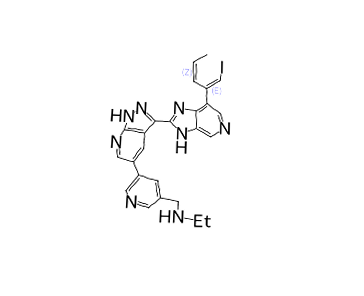 C/C=C\C(=C/I)c1cncc2[nH]c(-c3n[nH]c4ncc(-c5cncc(CNCC)c5)cc34)nc12